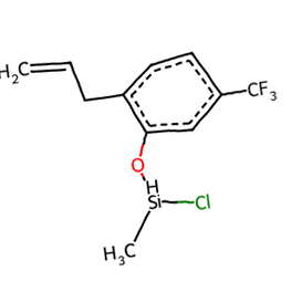 C=CCc1ccc(C(F)(F)F)cc1O[SiH](C)Cl